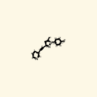 Cc1cc(C#Cc2cccnc2)nn1-c1ccc(F)cc1